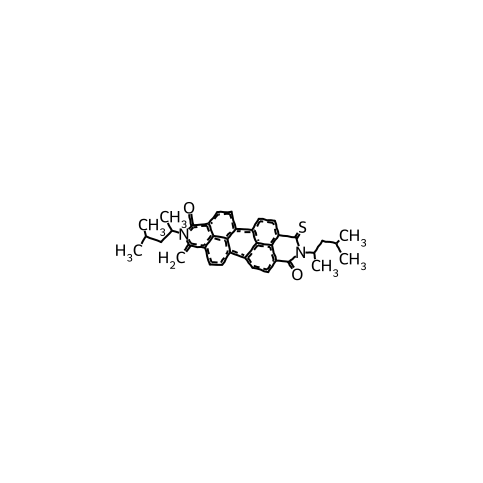 C=c1c2ccc3c4ccc5c6c(ccc(c7ccc(c(=O)n1C(C)CC(C)C)c2c37)c64)C(=S)N(C(C)CC(C)C)C5=O